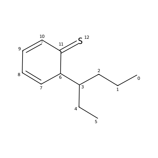 CCCC(CC)C1C=CC=[C]C1=S